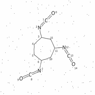 O=C=NC1CCC(N=C=O)CC(N=C=O)C1